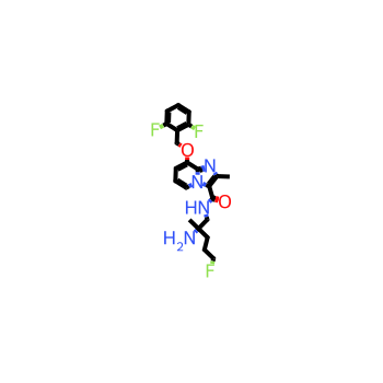 Cc1nc2c(OCc3c(F)cccc3F)cccn2c1C(=O)NCC(C)(N)CCCF